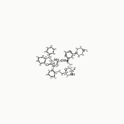 COC(=O)N[C@H](C(=O)Nc1ccccc1CC[C@@H]1CN[C@H](C)[C@@H](CSc2cc(N3CCN(C)CC3)ncn2)O1)C(c1ccccc1)c1ccccc1